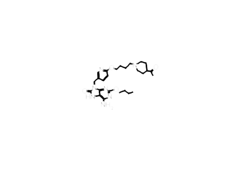 CCCCOc1nc(N)c2[nH]c(=O)n(Cc3ccc(OCCCCN4CCC(C(C)=O)CC4)nc3)c2n1